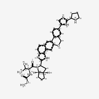 COC(=O)N[C@H](C(=O)N1C(c2nc3ccc4cc5c(cc4c3[nH]2)OCc2cc(-c3cnc(C4CCCN4)[nH]3)ccc2-5)C[C@@H]2CCC[C@@H]21)C(C)C